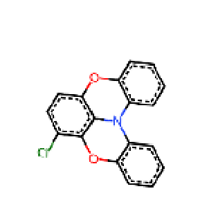 Clc1ccc2c3c1Oc1ccccc1N3c1ccccc1O2